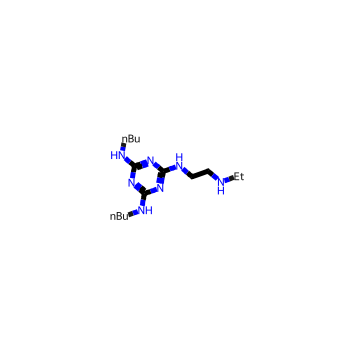 CCCCNc1nc(NCCCC)nc(NCCNCC)n1